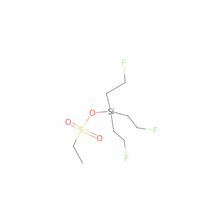 CCS(=O)(=O)O[Si](CCF)(CCF)CCF